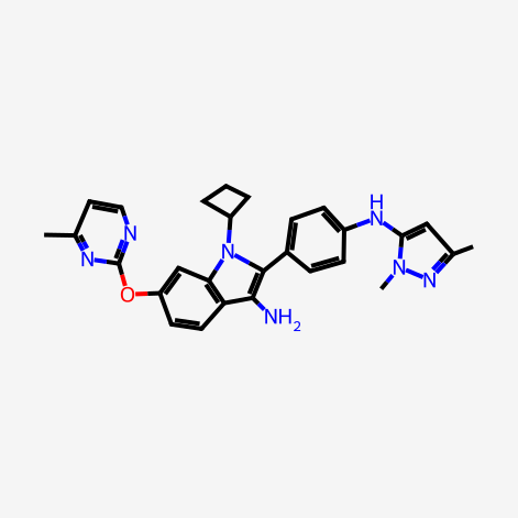 Cc1ccnc(Oc2ccc3c(N)c(-c4ccc(Nc5cc(C)nn5C)cc4)n(C4CCC4)c3c2)n1